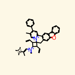 C=CC1C([N+](=C)/C=C(\C)[Si](C)(C)C)C(C=C)C12Cc1cc3oc4ccccc4c3cc1-c1cc(-c3ccccc3)c(C)c[n+]12